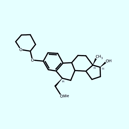 COC[C@@H]1CC2C(CC[C@@]3(C)C2CC[C@@H]3O)c2ccc(OC3CCCCO3)cc21